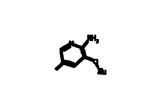 CC[C@H](C)Oc1cc(C)cnc1N